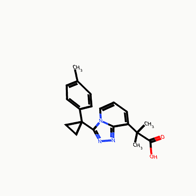 Cc1ccc(C2(c3nnc4c(C(C)(C)C(=O)O)cccn34)CC2)cc1